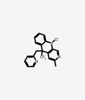 Cc1cc2c(cn1)N(Cl)c1ccccc1C2(Cc1ccccn1)C(F)(F)F